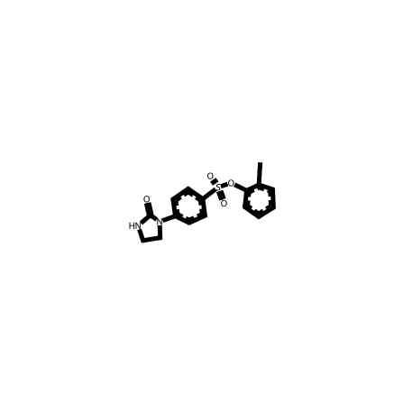 Cc1ccccc1OS(=O)(=O)c1ccc(N2CCNC2=O)cc1